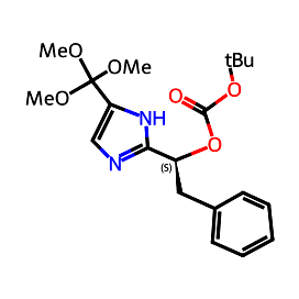 COC(OC)(OC)c1cnc([C@H](Cc2ccccc2)OC(=O)OC(C)(C)C)[nH]1